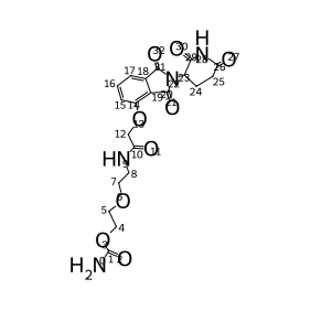 NC(=O)OCCOCCNC(=O)COc1cccc2c1C(=O)N(C1CCC(=O)NC1=O)C2=O